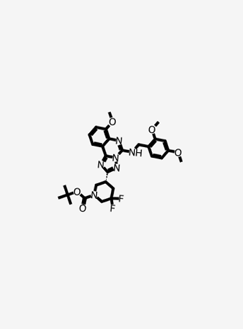 COc1ccc(CNc2nc3c(OC)cccc3c3nc([C@H]4CN(C(=O)OC(C)(C)C)CC(F)(F)C4)nn23)c(OC)c1